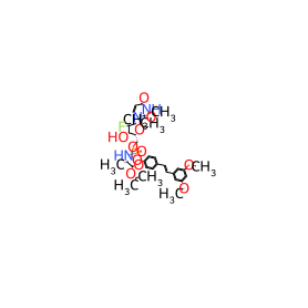 COc1cc(/C=C/c2ccc(OP(=O)(N[C@@H](C)C(=O)OC(C)C)OC[C@H]3O[C@@H](N4C=CC(=O)NC4(C)OC)[C@](C)(F)[C@@H]3O)cc2)cc(OC)c1